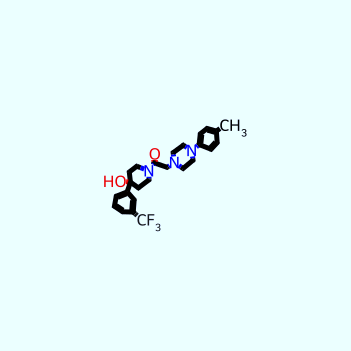 Cc1ccc(N2CCN(CC(=O)N3CCC(O)(c4cccc(C(F)(F)F)c4)CC3)CC2)cc1